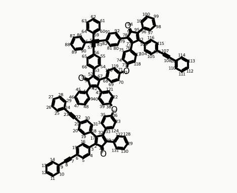 O=C1C(c2ccc(C#Cc3ccccc3)cc2)=C(c2ccc(C#Cc3ccccc3)cc2)C(c2ccc(Oc3ccc(C4=C(c5ccccc5)C(=O)C(c5ccc(C#Cc6ccccc6)cc5)=C4c4ccc(Oc5ccc(C6=C(c7ccc(C#Cc8ccccc8)cc7)C(=O)C(c7ccccc7)=C6c6ccc(C#Cc7ccccc7)cc6)cc5)cc4)cc3)cc2)=C1c1ccccc1